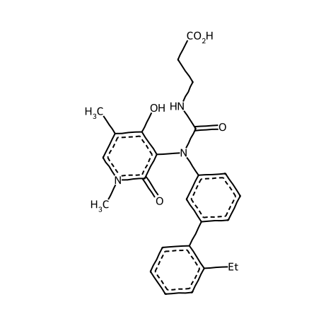 CCc1ccccc1-c1cccc(N(C(=O)NCCC(=O)O)c2c(O)c(C)cn(C)c2=O)c1